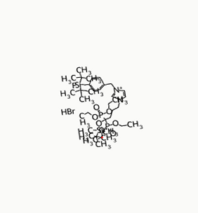 Br.CCOP(=O)(OCC)C(CCCn1cc[n+](Cc2ccc([Si](F)(C(C)(C)C)C(C)(C)C)cc2)c1)(O[Si](C)(C)C(C)(C)C)P(=O)(OCC)OCC